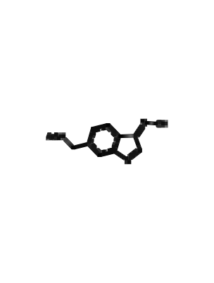 CC(=O)NCc1ccc2c(c1)N=CC2=NO